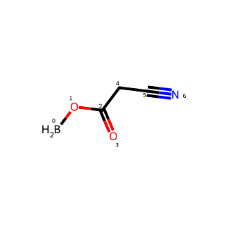 BOC(=O)CC#N